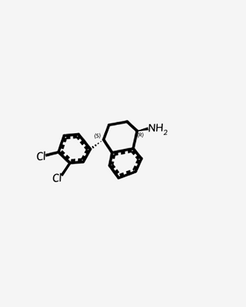 N[C@@H]1CC[C@@H](c2ccc(Cl)c(Cl)c2)c2ccccc21